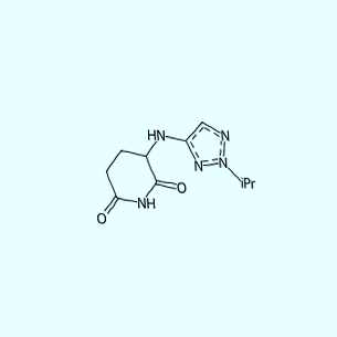 CC(C)n1ncc(NC2CCC(=O)NC2=O)n1